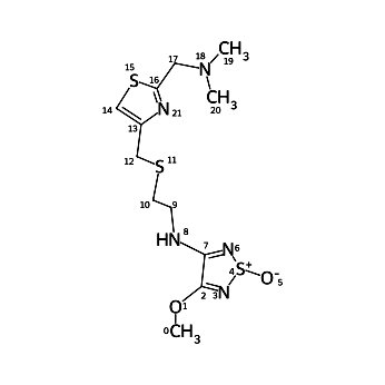 COc1n[s+]([O-])nc1NCCSCc1csc(CN(C)C)n1